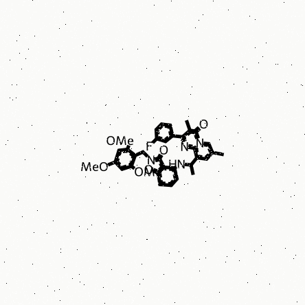 COc1cc(OC)c(Cn2oc3cccc(NC(C)c4cc(C)cn5c(=O)c(C)c(-c6cccc(F)c6)nc45)c3c2=O)c(OC)c1